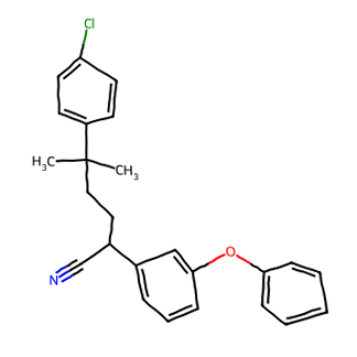 CC(C)(CCC(C#N)c1cccc(Oc2ccccc2)c1)c1ccc(Cl)cc1